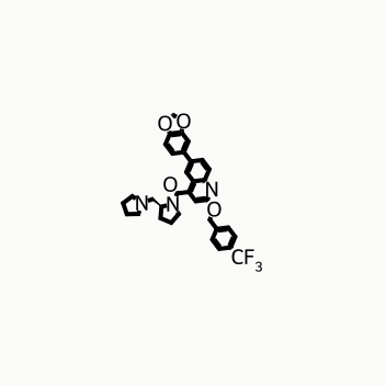 O=C(c1cc(OCc2ccc(C(F)(F)F)cc2)nc2ccc(-c3ccc4c(c3)OCO4)cc12)N1CCC[C@H]1CN1CCCC1